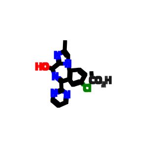 CC(=O)O.Cc1cn2c(n1)C(O)N=C(c1ncccn1)c1cc(Cl)ccc1-2